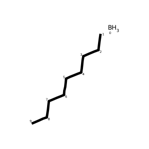 B.CCCCCCCCC